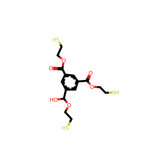 O=C(OCCS)c1cc(C(=O)OCCS)cc(C(O)OCCS)c1